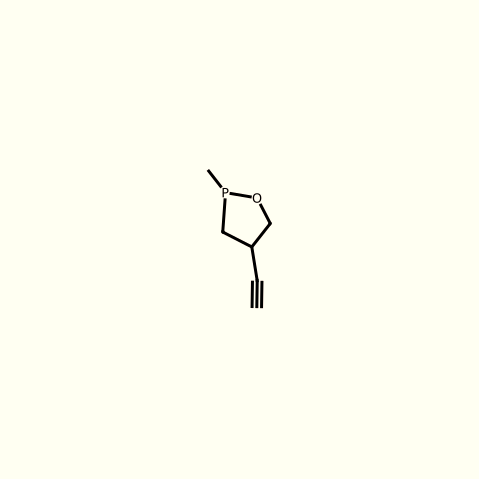 C#CC1COP(C)C1